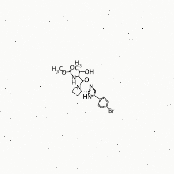 COC(=O)N[C@H](C(=O)N1CCC[C@H]1c1ncc(-c2ccc(Br)cc2)[nH]1)[C@@H](C)O